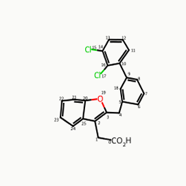 O=C(O)Cc1c(Cc2cccc(-c3cccc(Cl)c3Cl)c2)oc2ccccc12